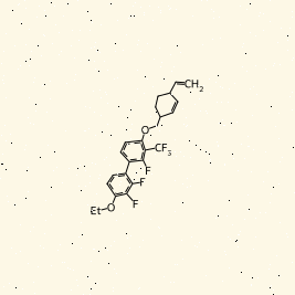 C=CC1C=CC(COc2ccc(-c3ccc(OCC)c(F)c3F)c(F)c2C(F)(F)F)CC1